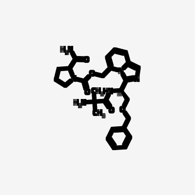 CC(C)(N)C(=O)N[C@H](COCc1ccccc1)c1ncc2cccc(COC(=O)N3CCCC3C(N)=O)n12